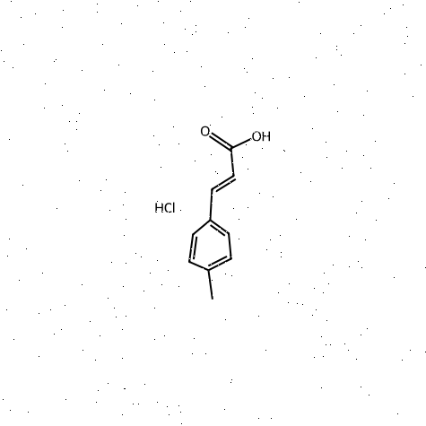 Cc1ccc(C=CC(=O)O)cc1.Cl